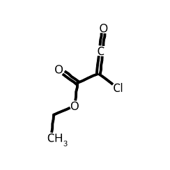 CCOC(=O)C(Cl)=C=O